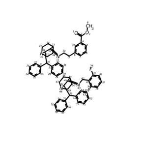 COC(=O)c1cccc(CCN=C2C3CCN(CC3)C2C(c2ccccc2)c2ccccc2)c1.Fc1cccc(F)c1CN=C1C2CCN(CC2)C1C(c1ccccc1)c1ccccc1